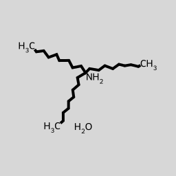 CCCCCCCCCC(N)(CCCCCCCCC)CCCCCCCCC.O